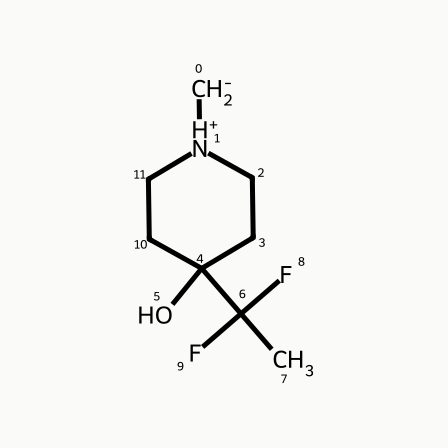 [CH2-][NH+]1CCC(O)(C(C)(F)F)CC1